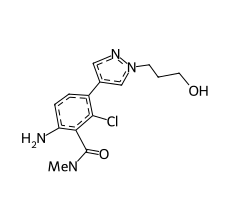 CNC(=O)c1c(N)ccc(-c2cnn(CCCO)c2)c1Cl